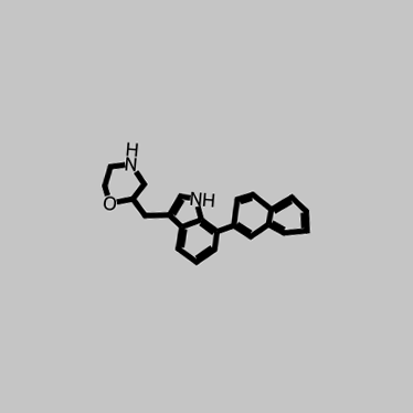 c1ccc2cc(-c3cccc4c(CC5CNCCO5)c[nH]c34)ccc2c1